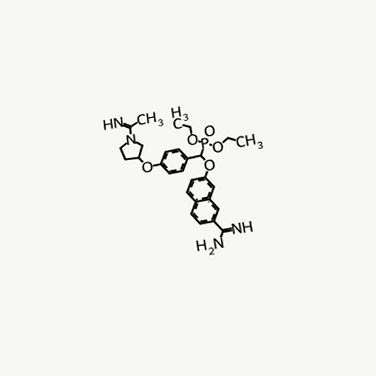 CCOP(=O)(OCC)C(Oc1ccc2ccc(C(=N)N)cc2c1)c1ccc(OC2CCN(C(C)=N)C2)cc1